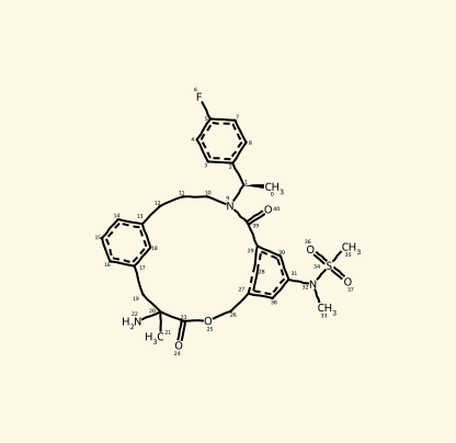 C[C@H](c1ccc(F)cc1)N1CCCc2cccc(c2)CC(C)(N)C(=O)OCc2cc(cc(N(C)S(C)(=O)=O)c2)C1=O